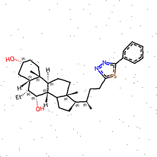 CC[C@H]1[C@@H](O)[C@H]2C3CC[C@H]([C@H](C)CCc4nnc(-c5ccccc5)s4)[C@@]3(C)CC[C@@H]2[C@@]2(C)CC[C@@H](O)C[C@@H]12